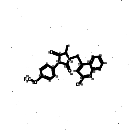 CC1C(=O)N(c2ccc(OC(F)(F)F)cc2)C(=O)N1Cc1cc(Cl)nc2ccccc12